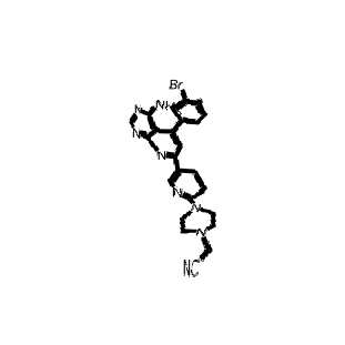 N#CCN1CCN(c2ccc(-c3cc(-c4cccc(Br)c4)c4c(N)ncnc4n3)cn2)CC1